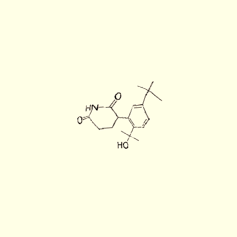 CC(C)(C)c1ccc(C(C)(C)O)c(C2CCC(=O)NC2=O)c1